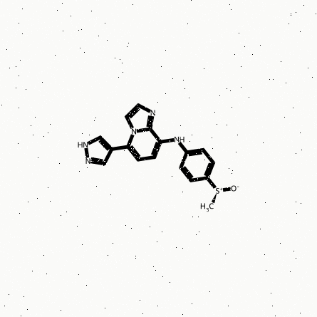 C[S@+]([O-])c1ccc(Nc2ccc(-c3cn[nH]c3)n3ccnc23)cc1